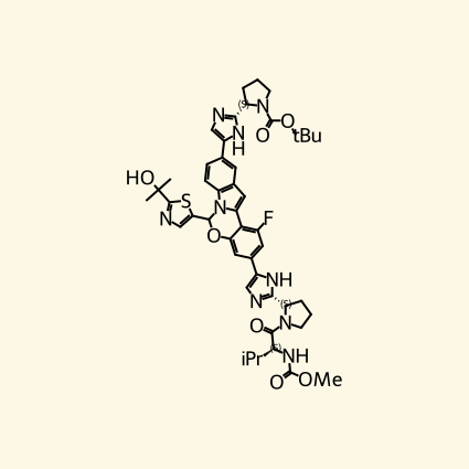 COC(=O)N[C@H](C(=O)N1CCC[C@H]1c1ncc(-c2cc(F)c3c(c2)OC(c2cnc(C(C)(C)O)s2)n2c-3cc3cc(-c4cnc([C@@H]5CCCN5C(=O)OC(C)(C)C)[nH]4)ccc32)[nH]1)C(C)C